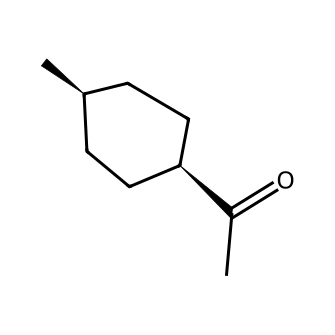 CC(=O)[C@H]1CC[C@@H](C)CC1